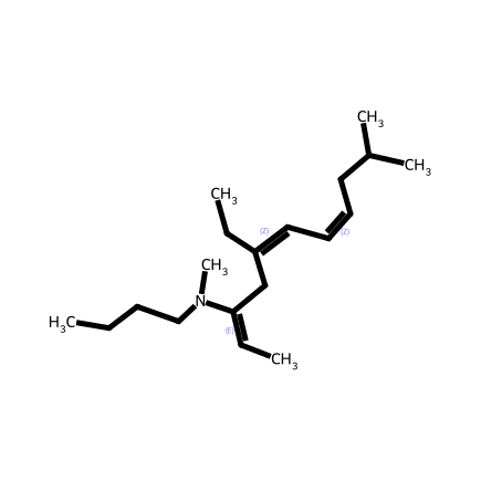 C/C=C(\C/C(=C\C=C/CC(C)C)CC)N(C)CCCC